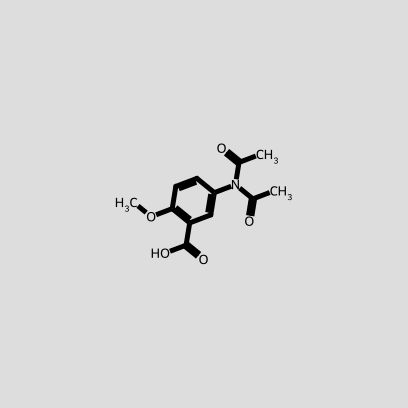 COc1ccc(N(C(C)=O)C(C)=O)cc1C(=O)O